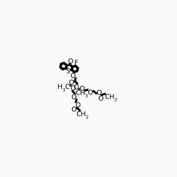 C=CC(=O)OCCOCCOC(C)OCC(COc1ccc(F)c2c(=O)c3ccccc3sc12)OC(C)OCCOCCOC(=O)C=C